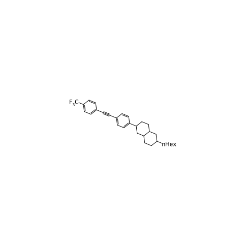 CCCCCCC1CCC2CC(c3ccc(C#Cc4ccc(C(F)(F)F)cc4)cc3)CCC2C1